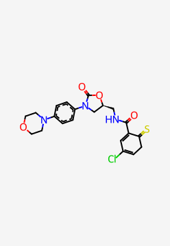 O=C(NC[C@H]1CN(c2ccc(N3CCOCC3)cc2)C(=O)O1)C1=CC(Cl)=CCC1=S